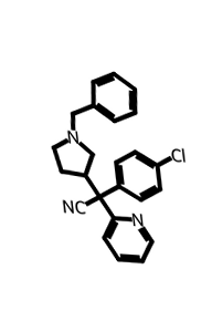 N#CC(c1ccc(Cl)cc1)(c1ccccn1)C1CCN(Cc2ccccc2)C1